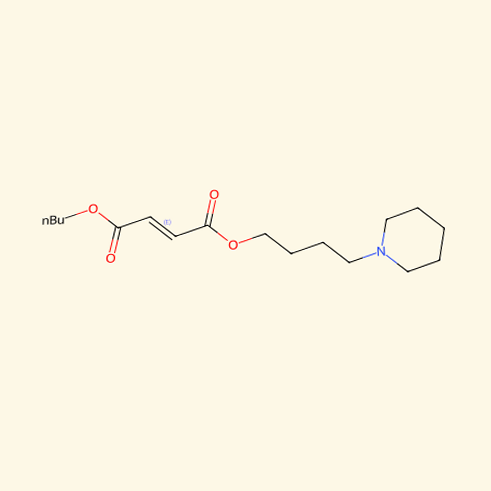 CCCCOC(=O)/C=C/C(=O)OCCCCN1CCCCC1